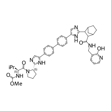 COC(=O)N[C@H](C(=O)N1CCC[C@H]1c1ncc(-c2ccc(-c3ccc(-c4cnc(C5C6CCC(C6)C5C(=O)NCc5cccnc5O)[nH]4)cc3)cc2)[nH]1)C(C)C